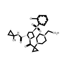 N#CC1(NC(=O)[C@@H]2C[C@@H](S(=O)(=O)c3ccccc3Cl)CN2C(=O)C2(N3CCN(CC(=O)O)CC3)CC2)CC1